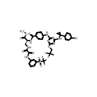 COC(=O)[C@H](CNC(=O)C(=O)Nc1cccc(S(=O)(=O)C(F)(F)F)c1)NC(=O)c1ccc(Nc2nc(NC3(c4ccc(Cl)cc4)CC3)nc(OCC(F)(F)F)n2)cc1